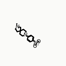 CN1CCC2(CCN(c3ccc([N+](=O)[O-])cc3)CC2)C1